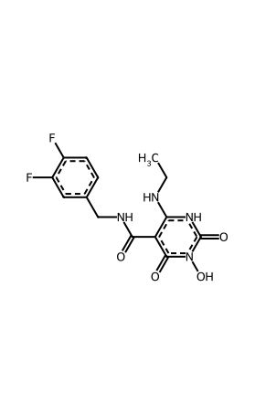 CCNc1[nH]c(=O)n(O)c(=O)c1C(=O)NCc1ccc(F)c(F)c1